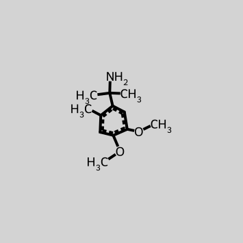 COc1cc(C)c(C(C)(C)N)cc1OC